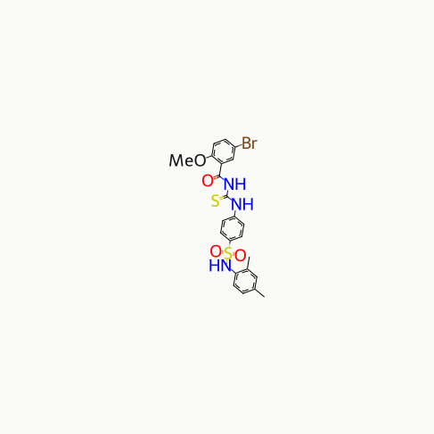 COc1ccc(Br)cc1C(=O)NC(=S)Nc1ccc(S(=O)(=O)Nc2ccc(C)cc2C)cc1